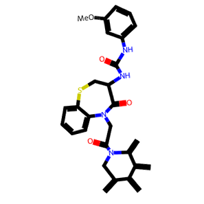 C=C1CN(C(=O)CN2C(=O)C(NC(=O)Nc3cccc(OC)c3)CSc3ccccc32)C(=C)C(=C)C1=C